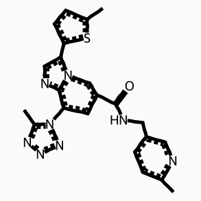 Cc1ccc(CNC(=O)c2cc(-n3nnnc3C)c3ncc(-c4ccc(C)s4)n3c2)cn1